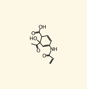 C=CC(=O)NC1=CC(O)(C(C)=O)C(C(=O)O)C=C1